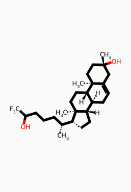 C[C@H](CCCC(O)C(F)(F)F)[C@H]1CC[C@H]2[C@@H]3CC=C4C[C@@](C)(O)CC[C@]4(C)[C@H]3CC[C@]12C